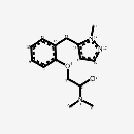 CN(C)C(Cl)COc1ccccc1Cc1ccnn1C